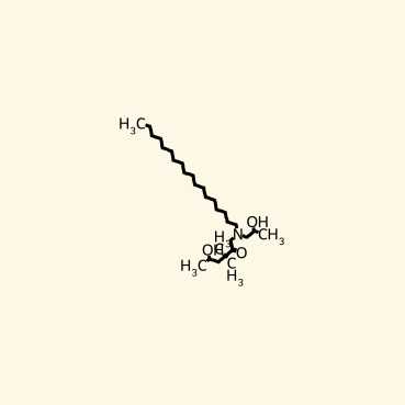 CCCCCCCCCCCCCCCCCCN(CC(=O)C(C)(C)CC(C)O)CC(C)O